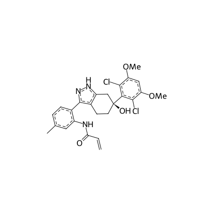 C=CC(=O)Nc1cc(C)ccc1-c1n[nH]c2c1CC[C@@](O)(c1c(Cl)c(OC)cc(OC)c1Cl)C2